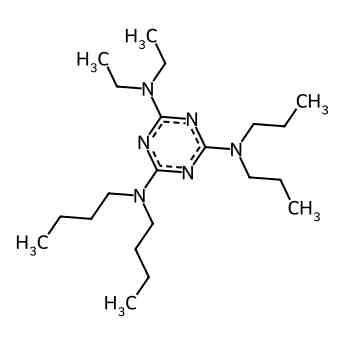 CCCCN(CCCC)c1nc(N(CC)CC)nc(N(CCC)CCC)n1